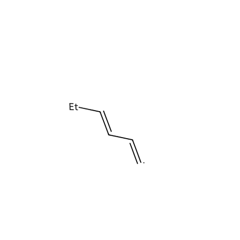 [CH]=C/C=C/CC